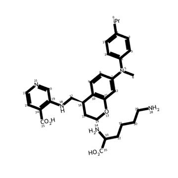 CC(C)c1ccc(N(C)c2ccc3c(c2)OCC[C@H]3CNc2cnccc2C(=O)O)cc1.NCCCCC(N)C(=O)O